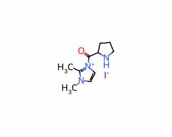 Cc1n(C)cc[n+]1C(=O)C1CCCN1.[I-]